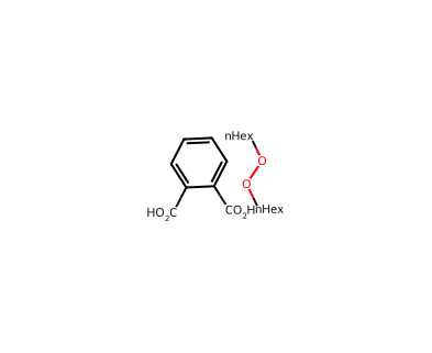 CCCCCCOOCCCCCC.O=C(O)c1ccccc1C(=O)O